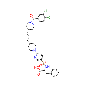 O=C(O)C(Cc1ccccc1)NS(=O)(=O)c1ccc(N2CCC(CCCC3CCN(C(=O)c4ccc(Cl)c(Cl)c4)CC3)CC2)nc1